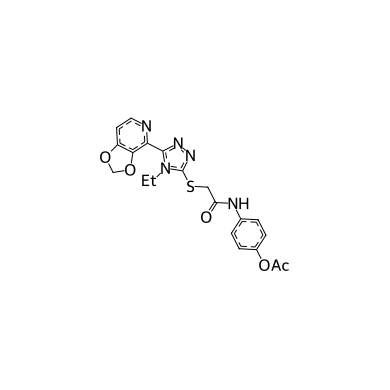 CCn1c(SCC(=O)Nc2ccc(OC(C)=O)cc2)nnc1-c1nccc2c1OCO2